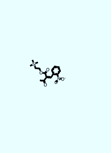 CC(=O)C(=Cc1ccccc1[N+](=O)[O-])C(=O)OCC[Si](C)(C)C